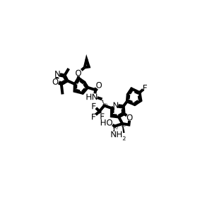 Cc1noc(C)c1-c1ccc(C(=O)NC[C@H](c2cc3c(c(-c4ccc(F)cc4)n2)OC[C@]3(C)[C@H](N)O)C(F)(F)F)cc1OC1CC1